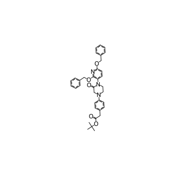 CC(C)(C)OC(=O)Cc1ccc(N2CCN(c3ccc(OCc4ccccc4)nc3OCc3ccccc3)C(=O)C2)cc1